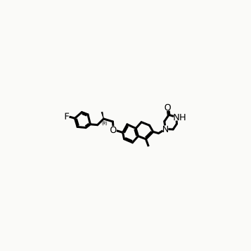 CC1=C(CN2CCNC(=O)C2)CCc2cc(OC[C@H](C)Cc3ccc(F)cc3)ccc21